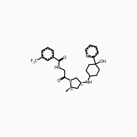 C[C@@H]1C[C@H](NC2CCC(O)(c3ccccn3)CC2)CN1C(=O)CNC(=O)c1cccc(C(F)(F)F)c1